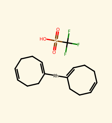 C1=C\CC/[C]([Rh]/[C]2=C/CC/C=C\CC2)=C\CC/1.O=S(=O)(O)C(F)(F)F